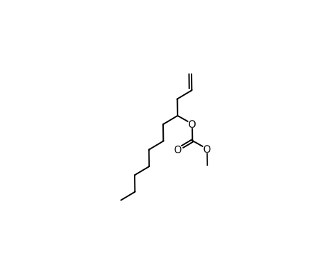 C=CCC(CCCCCCC)OC(=O)OC